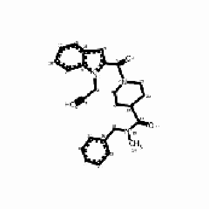 C#CCn1c(C(=O)N2CCC(C(=O)N(C)Cc3ccccc3)CC2)cc2ccccc21